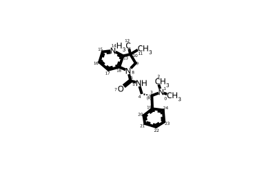 CN(C)[C@@H](CNC(=O)N1CC(C)(C)c2ncccc21)c1ccccc1